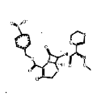 CO/N=C(\C(=O)NC1C(=O)N2C(C(=O)OCc3ccc([N+](=O)[O-])cc3)=C(Cl)CS[C@H]12)C1=CSCCO1